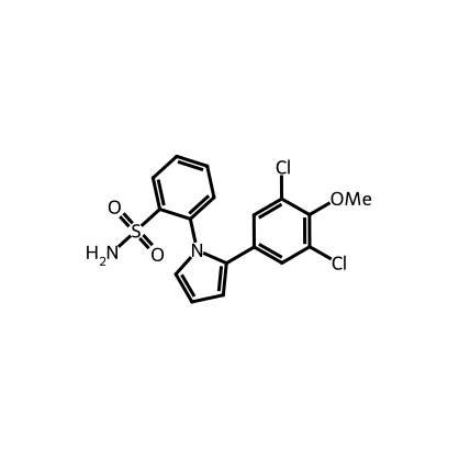 COc1c(Cl)cc(-c2cccn2-c2ccccc2S(N)(=O)=O)cc1Cl